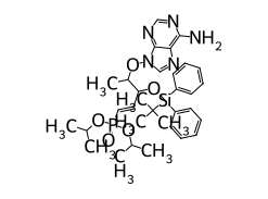 CC(C)OP(=O)(C=CC(O[Si](c1ccccc1)(c1ccccc1)C(C)(C)C)C(C)On1cnc2c(N)ncnc21)OC(C)C